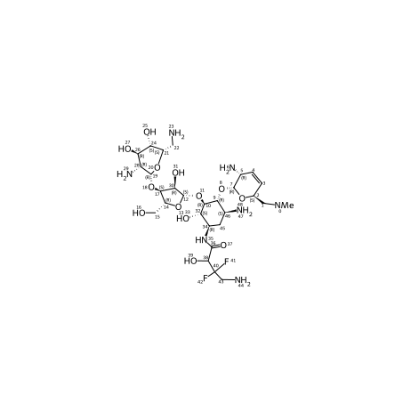 CNC[C@@H]1C=C[C@@H](N)[C@@H](O[C@H]2[C@H](O[C@@H]3O[C@H](CO)[C@@H](O[C@H]4O[C@@H](CN)[C@@H](O)[C@H](O)[C@H]4N)[C@H]3O)[C@@H](O)[C@H](NC(=O)C(O)C(F)(F)CN)C[C@@H]2N)O1